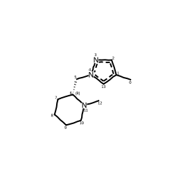 Cc1cnn(C[C@H]2CCCCN2C)c1